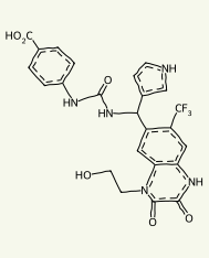 O=C(Nc1ccc(C(=O)O)cc1)NC(c1cc[nH]c1)c1cc2c(cc1C(F)(F)F)[nH]c(=O)c(=O)n2CCO